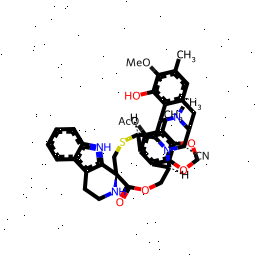 COc1c(C)cc2c(c1O)C1C3[C@@H]4SC[C@]5(NCCc6c5[nH]c5ccccc65)C(=O)OC[C@@H](c5c6c(c(C)c(OC(C)=O)c54)OCO6)N3[C@@H](C#N)C(C2)N1C